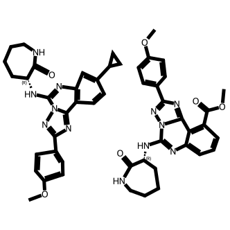 COC(=O)c1cccc2nc(N[C@@H]3CCCCNC3=O)n3nc(-c4ccc(OC)cc4)nc3c12.COc1ccc(-c2nc3c4ccc(C5CC5)cc4nc(N[C@@H]4CCCCNC4=O)n3n2)cc1